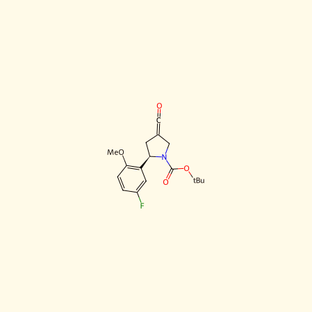 COc1ccc(F)cc1[C@H]1CC(=C=O)CN1C(=O)OC(C)(C)C